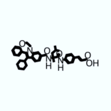 CC(C)CC(C)(NC(=O)c1ccc2c(C3CCCCC3)c3n(c2c1)CCOc1ccccc1-3)C(=O)Nc1ccc(/C=C/C(=O)O)cc1